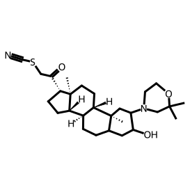 CC1(C)CN(C2C[C@@]3(C)C(CC[C@H]4[C@@H]5CC[C@H](C(=O)CSC#N)[C@@]5(C)CC[C@@H]43)CC2O)CCO1